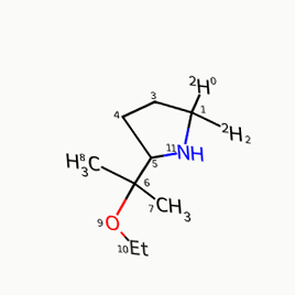 [2H]C1([2H])CCC(C(C)(C)OCC)N1